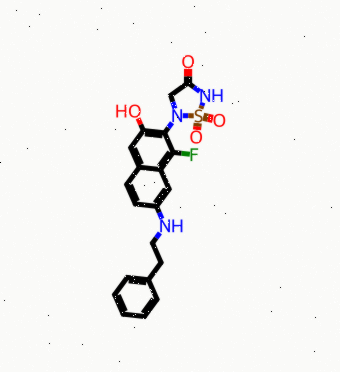 O=C1CN(c2c(O)cc3ccc(NCCc4ccccc4)cc3c2F)S(=O)(=O)N1